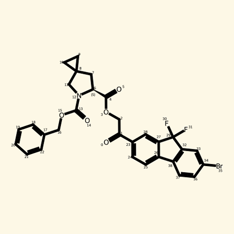 O=C(COC(=O)[C@@H]1CC2(CC2)CN1C(=O)OCc1ccccc1)c1ccc2c(c1)C(F)(F)c1cc(Br)ccc1-2